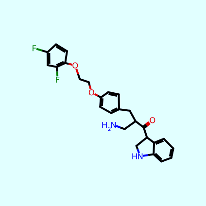 NCC(Cc1ccc(OCCOc2ccc(F)cc2F)cc1)C(=O)C1CNc2ccccc21